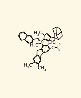 Cc1cc2c(cc1C)-c1cc(C)c(C)[c]([Zr]([CH3])(=[CH]c3ccc4ccccc4c3)[C]3=CC(C4(C)C5CC6CC(C5)CC4C6)=CC3C)c1C2